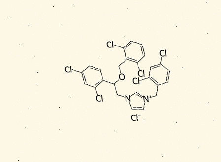 Clc1ccc(C[n+]2ccn(CC(OCc3c(Cl)cccc3Cl)c3ccc(Cl)cc3Cl)c2)c(Cl)c1.[Cl-]